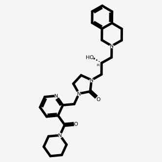 O=C(c1cccnc1CN1CCN(C[C@H](O)CN2CCc3ccccc3C2)C1=O)N1CCCCC1